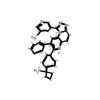 Cc1cncc(-c2nnc3ccc4nc(-c5ccc(C6(N)CCC6)cc5)c(-c5ccccc5)cc4n23)c1